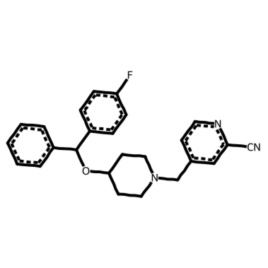 N#Cc1cc(CN2CCC(OC(c3ccccc3)c3ccc(F)cc3)CC2)ccn1